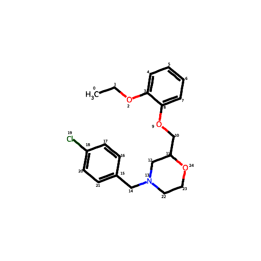 CCOc1ccccc1OCC1CN(Cc2ccc(Cl)cc2)CCO1